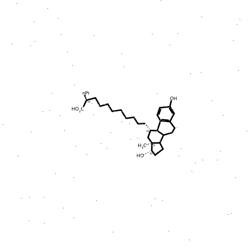 CCC[C@@H](CCCCCCCCC[C@H]1C[C@@]2(C)C(CC[C@@H]2O)C2CCc3cc(O)ccc3C21)C(=O)O